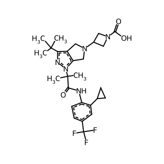 CC(C)(C)c1nn(C(C)(C)C(=O)Nc2ccc(C(F)(F)F)cc2C2CC2)c2c1CN(C1CN(C(=O)O)C1)C2